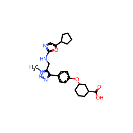 Cn1nnc(-c2ccc(O[C@H]3CCC[C@H](C(=O)O)C3)cc2)c1CNc1ncc(C2CCCC2)o1